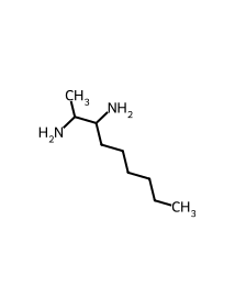 CCCCCCC(N)C(C)N